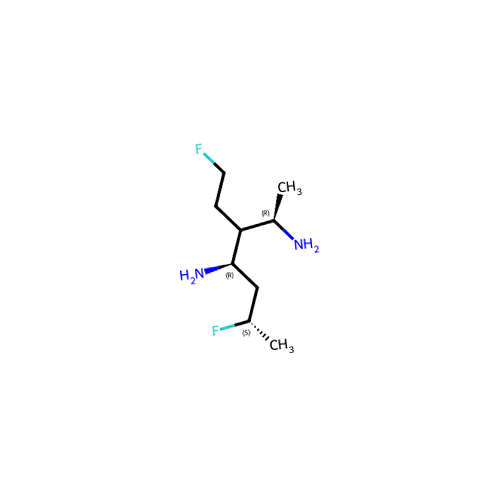 C[C@H](F)C[C@@H](N)C(CCF)[C@@H](C)N